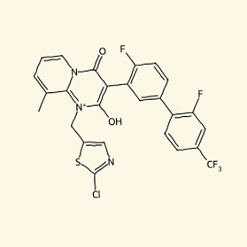 Cc1cccn2c(=O)c(-c3cc(-c4ccc(C(F)(F)F)cc4F)ccc3F)c(O)[n+](Cc3cnc(Cl)s3)c12